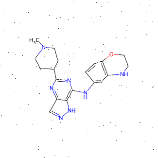 CN1CCC(c2nc(Nc3ccc4c(c3)NCCO4)c3[nH]ncc3n2)CC1